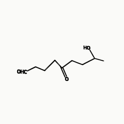 CC(O)CCC(=O)CCCC=O